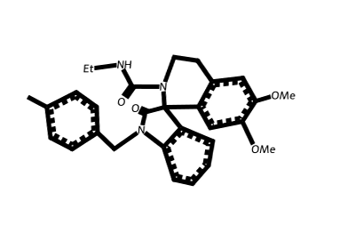 CCNC(=O)N1CCc2cc(OC)c(OC)cc2C12C(=O)N(Cc1ccc(C)cc1)c1ccccc12